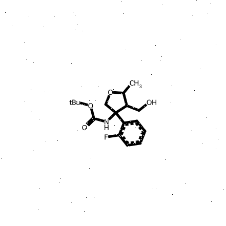 CC1OCC(NC(=O)OC(C)(C)C)(c2ccccc2F)C1CO